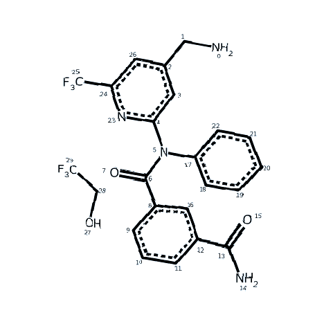 NCc1cc(N(C(=O)c2cccc(C(N)=O)c2)c2ccccc2)nc(C(F)(F)F)c1.OCC(F)(F)F